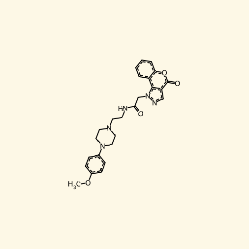 COc1ccc(N2CCN(CCNC(=O)Cn3ncc4c(=O)oc5ccccc5c43)CC2)cc1